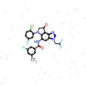 O=C(Nc1cc2c(ncn2CC(F)F)c2c1N(c1cc(F)ccc1Cl)CC2=O)c1cc(F)cc(C(F)(F)F)c1